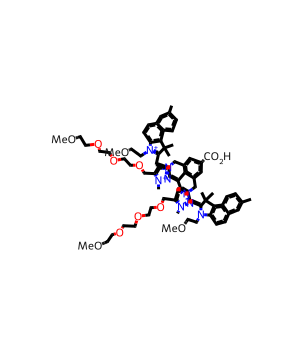 COCCOCCOCCOCc1cn(Cc2cc(C(=O)O)cc(Cn3cc(COCCOCCOCCOC)[n+](C)n3)c2C(=C\C=C\C2=[N+](CCOC)c3ccc4cc(C)ccc4c3C2(C)C)/C=C/C=C2/N(CCOC)c3ccc4cc(C)ccc4c3C2(C)C)n[n+]1C